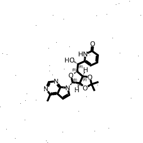 Cc1ncnc2c1ccn2[C@@H]1O[C@H]([C@H](O)c2cccc(=O)[nH]2)[C@H]2OC(C)(C)O[C@H]21